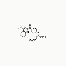 COCCN(C[C@H]1CC[C@@H](Nc2nc3c(c(N(C)C)n2)CCCC3)CC1)C(=O)O